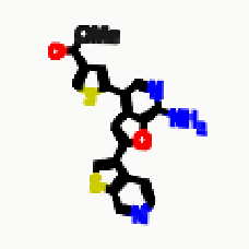 COC(=O)c1csc(-c2cnc(N)c3oc(-c4csc5cnccc45)cc23)c1